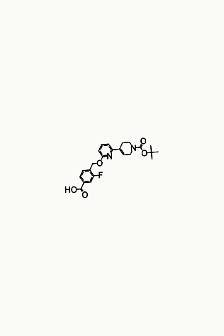 CC(C)(C)OC(=O)N1CC=C(c2cccc(OCc3ccc(C(=O)O)cc3F)n2)CC1